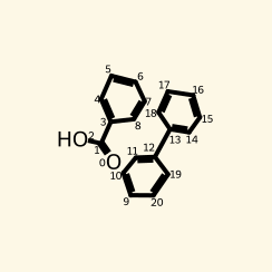 O=C(O)c1ccccc1.c1ccc(-c2ccccc2)cc1